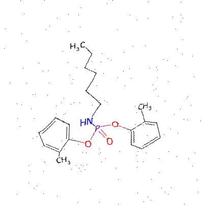 CCCCCCNP(=O)(Oc1ccccc1C)Oc1ccccc1C